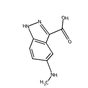 CNc1ccc2[nH]nc(C(=O)O)c2c1